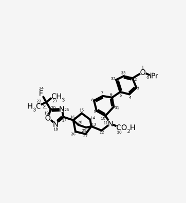 CC(C)Oc1ccc(-c2cccc(N(CC34CCC(c5noc(C(C)(C)F)n5)(CC3)CC4)C(=O)O)c2)cc1